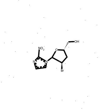 O=[N+]([O-])c1nccn1C1O[C@H](CO)C[C@H]1Br